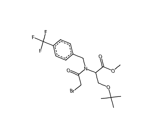 COC(=O)C(COC(C)(C)C)N(Cc1ccc(C(F)(F)F)cc1)C(=O)CBr